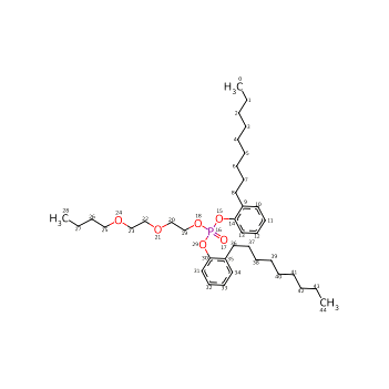 CCCCCCCCCc1ccccc1OP(=O)(OCCOCCOCCCC)Oc1ccccc1CCCCCCCCC